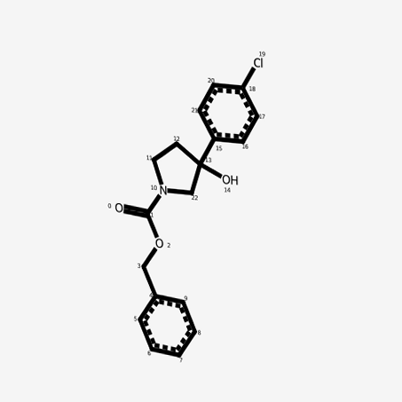 O=C(OCc1ccccc1)N1CCC(O)(c2ccc(Cl)cc2)C1